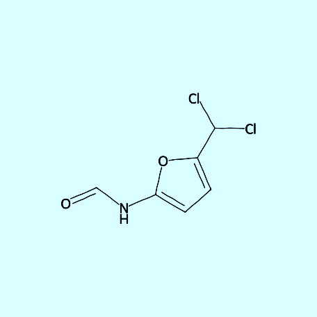 O=CNc1ccc(C(Cl)Cl)o1